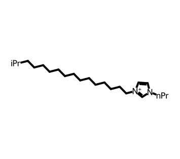 CCCn1cc[n+](CCCCCCCCCCCCCCC(C)C)c1